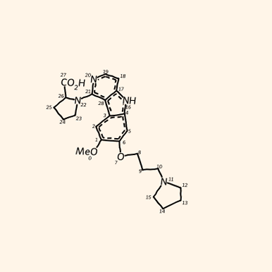 COc1cc2c(cc1OCCCN1CCCC1)[nH]c1ccnc(N3CCCC3C(=O)O)c12